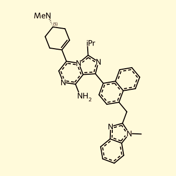 CN[C@@H]1CC=C(c2cnc(N)c3c(-c4ccc(Cc5nc6ccccc6n5C)c5ccccc45)nc(C(C)C)n23)CC1